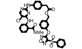 CNC(=O)c1ccccc1Nc1nc(Nc2ccc(CC(=O)OCc3cccc(Oc4nonc4S(=O)(=O)c4ccccc4)c3)cc2)ncc1Cl